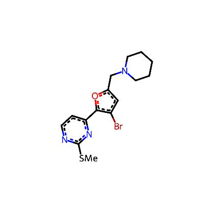 CSc1nccc(-c2oc(CN3CCCCC3)cc2Br)n1